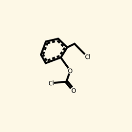 O=C(Cl)Oc1ccccc1CCl